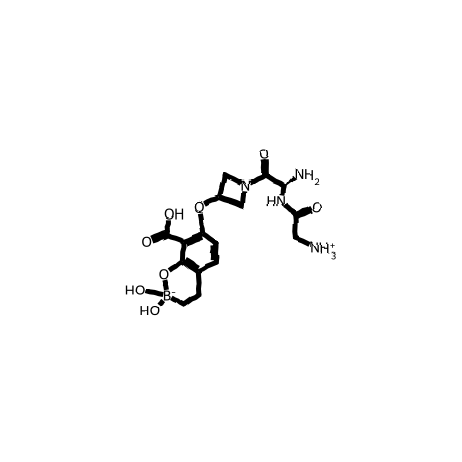 N[C@@H](NC(=O)C[NH3+])C(=O)N1CC(Oc2ccc3c(c2C(=O)O)O[B-](O)(O)CC3)C1